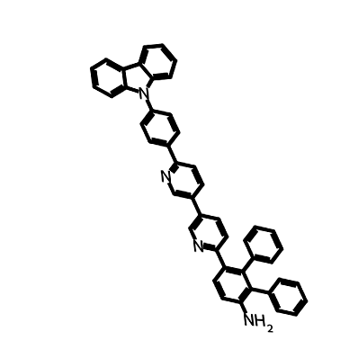 Nc1ccc(-c2ccc(-c3ccc(-c4ccc(-n5c6ccccc6c6ccccc65)cc4)nc3)cn2)c(-c2ccccc2)c1-c1ccccc1